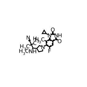 CNC(C1CCN(c2c(F)cc3c(=O)[nH]c(=O)n(C4CC4)c3c2C)C1)C(C)(C)C#N